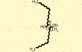 CCCCCCCC/C=C\CCCCCCCC(NC(CCCCCCC/C=C\CCCCCCCC)C(C)O)C(C)O